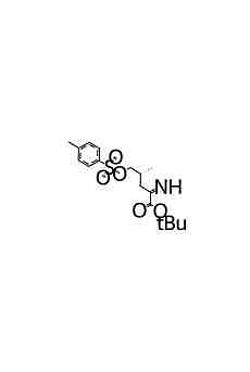 Cc1ccc(S(=O)(=O)OC[C@H](C)CC(=N)C(=O)OC(C)(C)C)cc1